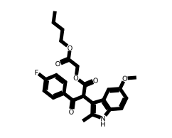 CCCCOC(=O)COC(=O)C(C(=O)c1ccc(F)cc1)c1c(C)[nH]c2ccc(OC)cc12